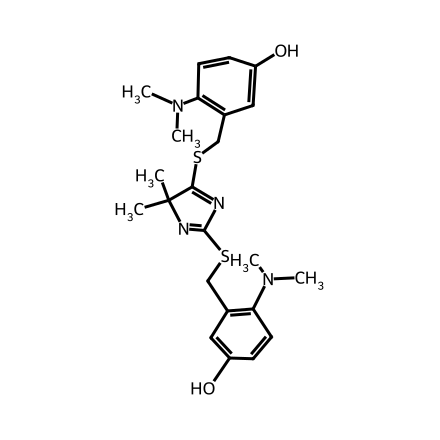 CN(C)c1ccc(O)cc1CSC1=NC(C)(C)C(SCc2cc(O)ccc2N(C)C)=N1